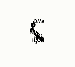 COCc1ccc(-c2ccnc(N3CCC(C(=O)NC4(C)CN5CCC4CC5)CC3)n2)cc1